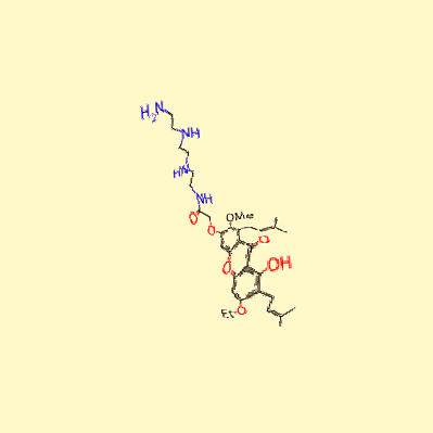 CCOc1cc2oc3cc(OCC(=O)NCCNCCNCCN)c(OC)c(CC=C(C)C)c3c(=O)c2c(O)c1CC=C(C)C